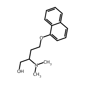 CN(C)C(CO)CCOc1cccc2ccccc12